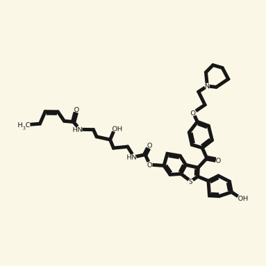 CC/C=C\CC(=O)NCCC(O)CCNC(=O)Oc1ccc2c(C(=O)c3ccc(OCCN4CCCCC4)cc3)c(-c3ccc(O)cc3)sc2c1